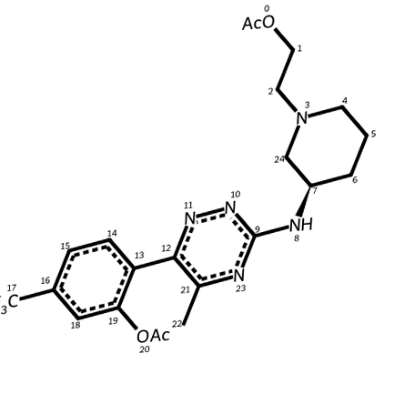 CC(=O)OCCN1CCC[C@@H](Nc2nnc(-c3ccc(C(F)(F)F)cc3OC(C)=O)c(C)n2)C1